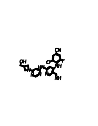 N#Cc1cc(F)c(Nc2cc(Nc3cc(N4CC(CO)C4)ncn3)ncc2C=N)c(Cl)c1